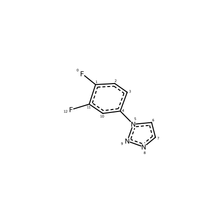 Fc1ccc(-n2ccnn2)cc1F